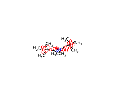 C=CC(=O)OC(CCOCC(O)CN1C(=O)N(CC(O)COCCC(OC(=O)C=C)(OC(=O)C=C)OC(=O)C=C)C(C)(C)C1=O)(OC(=O)C=C)OC(=O)C=C